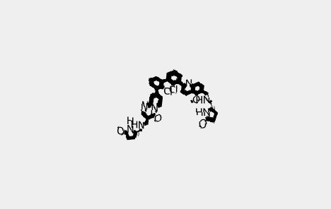 COc1c(CNC[C@@H]2CCC(=O)N2)ccc2nc(-c3cccc(-c4cccc(-c5ccn6c(=O)c(CNC[C@H]7CCC(=O)N7)cnc6c5)c4Cl)c3Cl)ccc12